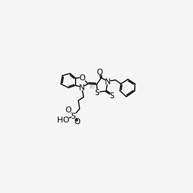 O=C1/C(=C2\Oc3ccccc3N2CCCS(=O)(=O)O)SC(=S)N1Cc1ccccc1